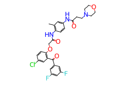 Cc1cc(NC(=O)CCN2CCOCC2)ccc1NC(=O)COc1ccc(Cl)cc1C(=O)c1cc(F)cc(F)c1